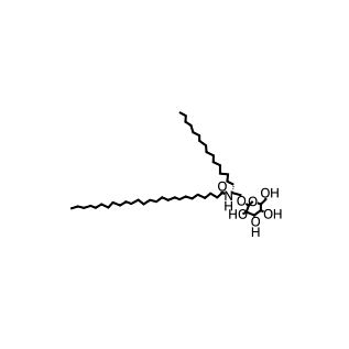 CCCCCCCCCCCCCCCCCCCCCCCCCC(=O)N[C@H](CCCCCCCCCCCCCCCC)COC1OC(CO)C(O)C(O)C1O